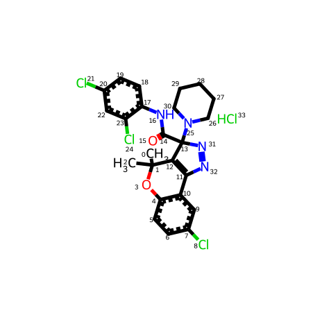 CC1(C)Oc2ccc(Cl)cc2C2=C1C(C(=O)Nc1ccc(Cl)cc1Cl)(N1CCCCC1)N=N2.Cl